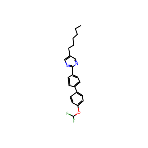 CCCCCCc1cnc(-c2ccc(-c3ccc(OC(F)F)cc3)cc2)nc1